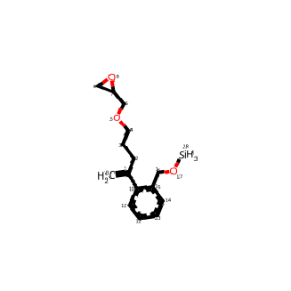 C=C(CCCOCC1CO1)c1ccccc1CO[SiH3]